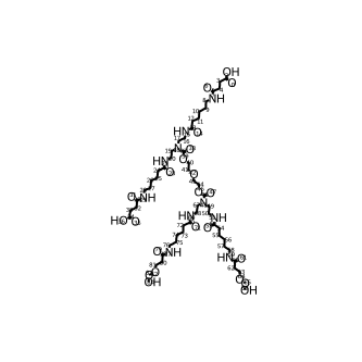 O=C(O)CCC(=O)NCCCCCC(=O)NCCN(CCNC(=O)CCCCCNC(=O)CCC(=O)O)C(=O)OCCOCCOC(=O)N(CCNC(=O)CCCCCNC(=O)CCOOO)CCNC(=O)CCCCCNC(=O)CCOOO